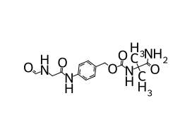 CC(C)(NC(=O)OCc1ccc(NC(=O)CNC=O)cc1)C(N)=O